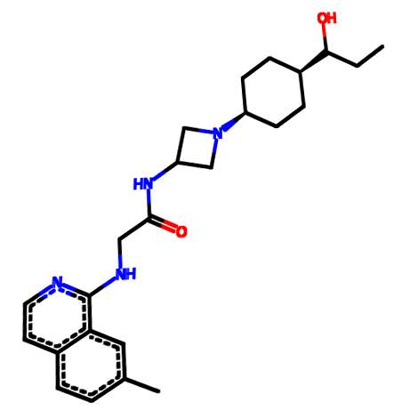 CCC(O)[C@H]1CC[C@@H](N2CC(NC(=O)CNc3nccc4ccc(C)cc34)C2)CC1